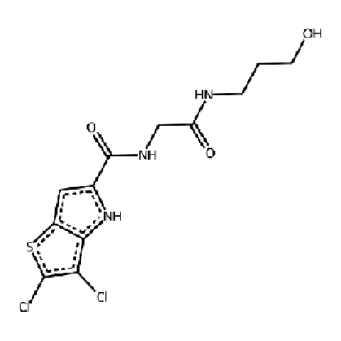 O=C(CNC(=O)c1cc2sc(Cl)c(Cl)c2[nH]1)NCCCO